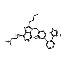 CCCCc1nc2c(NCCN(C)C)nnc(O)c2n1Cc1ccc(-c2ccccc2-c2nnn[nH]2)cc1